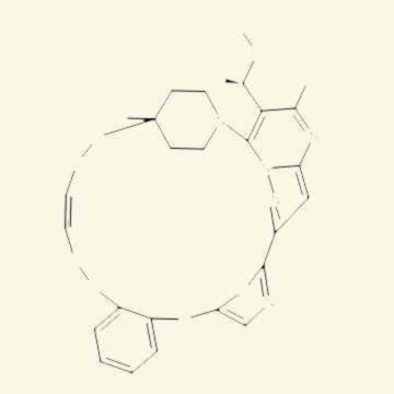 Cc1nc2cc3nn2c(c1[C@H](OC(C)(C)C)C(=O)O)N1CCC(C)(CC1)OC/C=C\CCc1ccccc1Cc1cnc-3s1